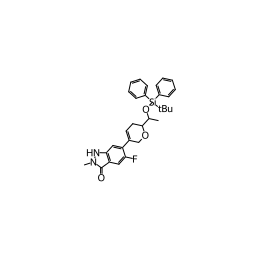 CC(O[Si](c1ccccc1)(c1ccccc1)C(C)(C)C)C1CC=C(c2cc3[nH]n(C)c(=O)c3cc2F)CO1